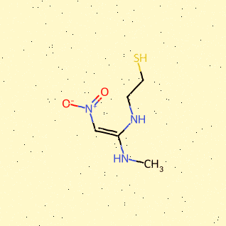 CNC(=C[N+](=O)[O-])NCCS